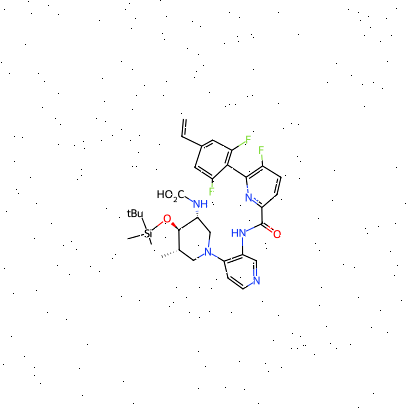 C=Cc1cc(F)c(-c2nc(C(=O)Nc3cnccc3N3C[C@H](C)[C@@H](O[Si](C)(C)C(C)(C)C)[C@H](NC(=O)O)C3)ccc2F)c(F)c1